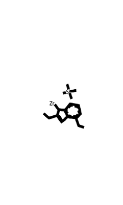 CCC1=Cc2c(CC)cccc2[CH]1[Zr].C[Si](C)(C)C